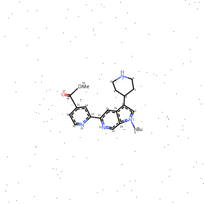 CCCCn1cc(C2CCNCC2)c2cc(-c3cc(C(=O)OC)ccn3)ncc21